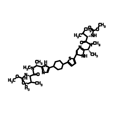 COC(=O)N[C@H](C(=O)N(C)[C@H](C)c1ncc(-c2ccc(C3CCC(c4cnc([C@@H](C)N(C)C(=O)[C@@H](NC(=O)OC)C(C)C)[nH]4)CC3)s2)[nH]1)C(C)C